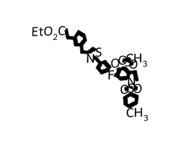 CCOC(=O)CCc1cccc(Cc2csc(-c3cccc(Oc4c(F)cc5c(ccn5S(=O)(=O)c5ccc(C)cc5)c4S(C)(=O)=O)c3)n2)c1